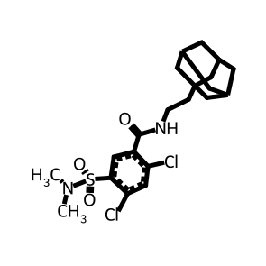 CN(C)S(=O)(=O)c1cc(C(=O)NCCC23CC4CC(CC(C4)C2)C3)c(Cl)cc1Cl